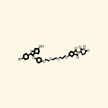 O=C1CCC(N2C(=O)c3ccc(OCCCOCCOCCOc4ccc(Oc5c(-c6ccc(Br)cc6)sc6cc(O)ccc56)cc4)cc3C2=O)C(=O)N1